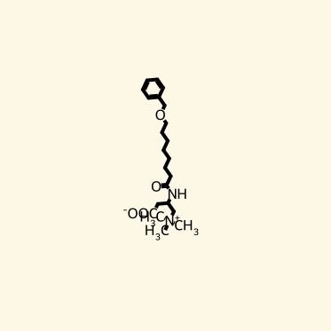 C[N+](C)(C)CC(CC(=O)[O-])NC(=O)CCCCCCCOCc1ccccc1